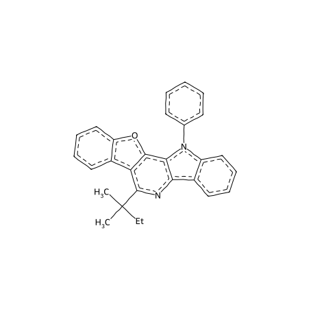 CCC(C)(C)c1nc2c3ccccc3n(-c3ccccc3)c2c2oc3ccccc3c12